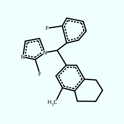 Cc1cc(C(c2ccccc2F)n2ccnc2F)cc2c1CCCC2